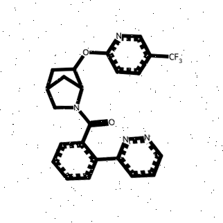 O=C(c1ccccc1-c1cccnn1)N1CC2CC(Oc3ccc(C(F)(F)F)cn3)C1C2